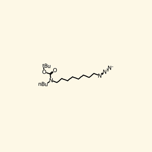 CCCCN(CCCCCCCCN=[N+]=[N-])C(=O)OC(C)(C)C